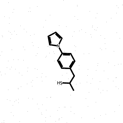 CC(S)Cc1ccc(-n2cccc2)cc1